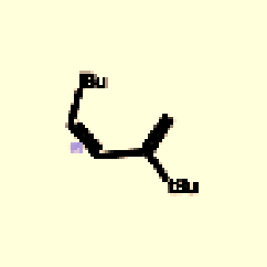 C=C(/C=C\C(C)CC)C(C)(C)C